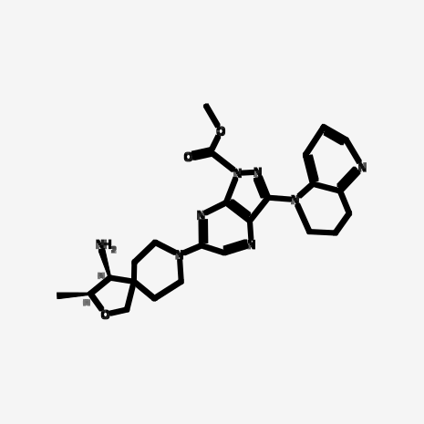 COC(=O)n1nc(N2CCCc3ncccc32)c2ncc(N3CCC4(CC3)CO[C@@H](C)[C@H]4N)nc21